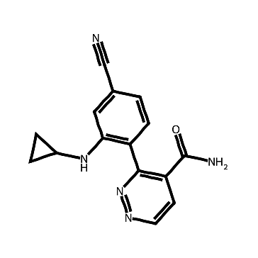 N#Cc1ccc(-c2nnccc2C(N)=O)c(NC2CC2)c1